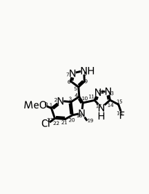 COc1nc2c(-c3cn[nH]c3)c(-c3nnc(CF)[nH]3)n(C)c2cc1Cl